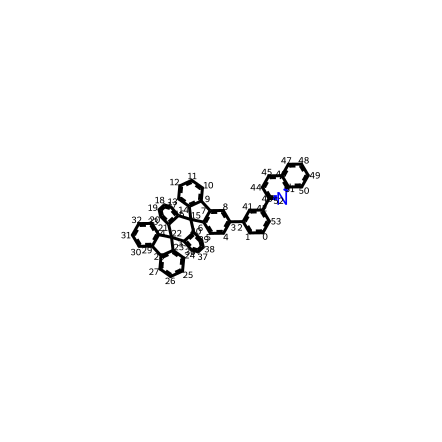 c1cc(-c2ccc3c(c2)-c2ccccc2C32c3ccccc3C3(c4ccccc4-c4ccccc43)c3ccccc32)cc(-c2ccc3ccccc3n2)c1